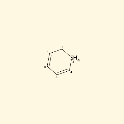 C1=CC[SH4]C=C1